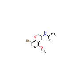 COc1ccc(Br)c2c1CC(NC(C)C)CO2